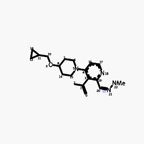 C=C(C)c1c(N2CCC(OCC3CC3)CC2)ccnc1/C=N\NC